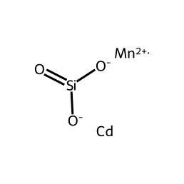 O=[Si]([O-])[O-].[Cd].[Mn+2]